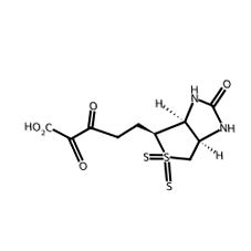 O=C1N[C@H]2[C@H](CS(=S)(=S)[C@H]2CCC(=O)C(=O)C(=O)O)N1